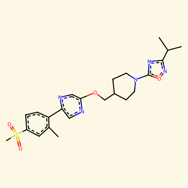 Cc1cc(S(C)(=O)=O)ccc1-c1cnc(OCC2CCN(c3nc(C(C)C)no3)CC2)cn1